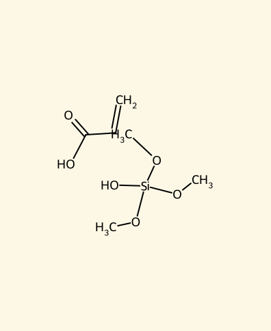 C=CC(=O)O.CO[Si](O)(OC)OC